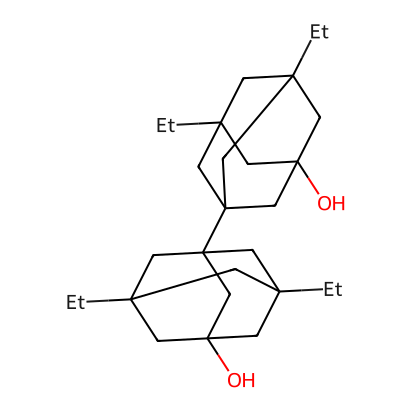 CCC12CC3(O)CC(CC)(C1)CC(C14CC5(O)CC(CC)(CC(CC)(C5)C1)C4)(C3)C2